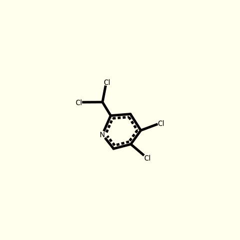 Clc1cnc(C(Cl)Cl)cc1Cl